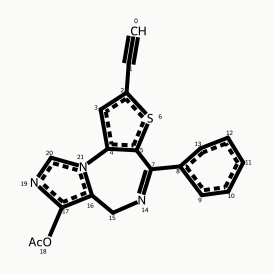 C#Cc1cc2c(s1)C(c1ccccc1)=NCc1c(OC(C)=O)ncn1-2